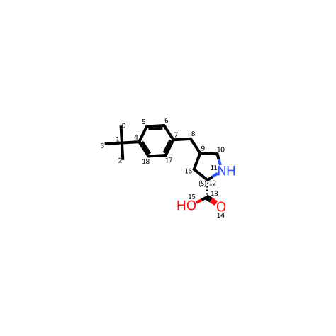 CC(C)(C)c1ccc(CC2CN[C@H](C(=O)O)C2)cc1